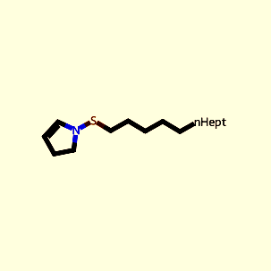 CCCCCCCCCCCCSN1C=CCC1